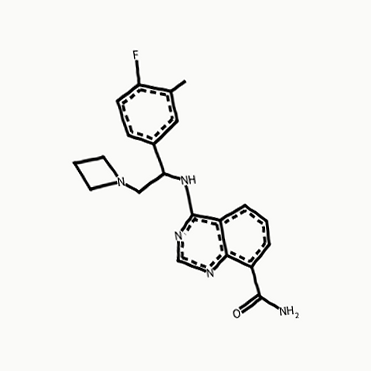 Cc1cc(C(CN2CCC2)Nc2ncnc3c(C(N)=O)cccc23)ccc1F